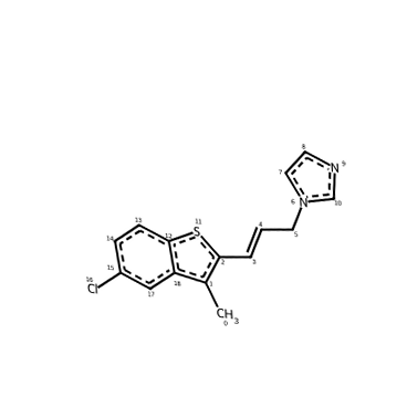 Cc1c(C=CCn2ccnc2)sc2ccc(Cl)cc12